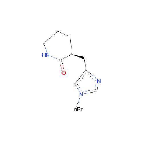 CCCn1cnc(C[C@@H]2CCCNC2=O)c1